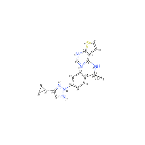 C[C@H](Nc1ncnc2sccc12)c1ccc(-n2ncc(C3CC3)n2)cc1